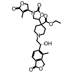 CCOC(=O)C1(C2CN(C3=C(C)C(=O)OC3)C(=O)O2)CCN(C[C@H](O)c2ccc3c(c2C)COC3=O)CC1